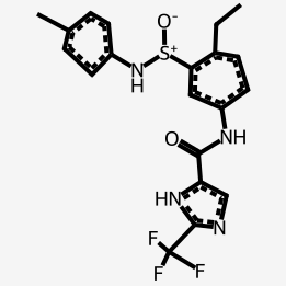 CCc1ccc(NC(=O)c2cnc(C(F)(F)F)[nH]2)cc1[S+]([O-])Nc1ccc(C)cc1